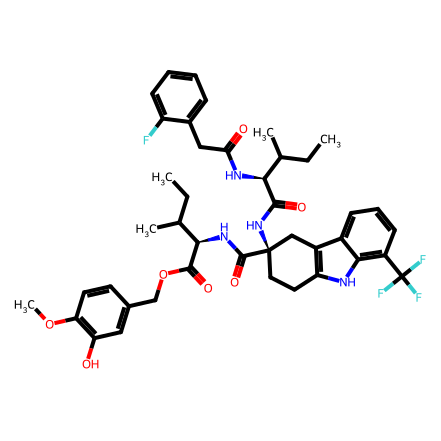 CCC(C)[C@H](NC(=O)Cc1ccccc1F)C(=O)N[C@]1(C(=O)N[C@@H](C(=O)OCc2ccc(OC)c(O)c2)C(C)CC)CCc2[nH]c3c(C(F)(F)F)cccc3c2C1